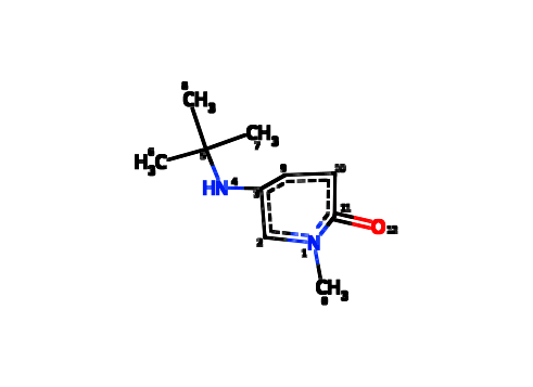 Cn1cc(NC(C)(C)C)ccc1=O